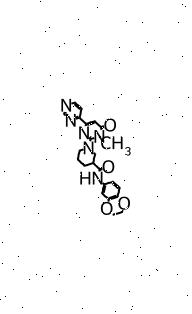 Cn1c(N2CCCC(C(=O)Nc3ccc4c(c3)OCCO4)C2)nc(-c2ccncn2)cc1=O